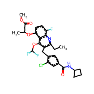 CCc1nc2c(F)ccc(OC(C)C(=O)OC)c2c(OC(F)F)c1Cc1ccc(C(=O)NC2CCC2)cc1Cl